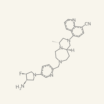 C[C@@H]1CN(c2ccc(C#N)c3ncccc23)C[C@@H]2CCN(Cc3ccc(N4C[C@@H](N)[C@@H](F)C4)cn3)CCN21